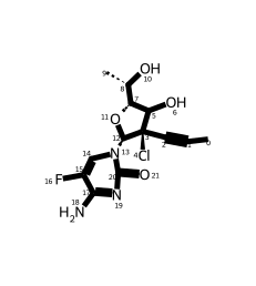 CC#C[C@@]1(Cl)C(O)[C@@H]([C@H](C)O)O[C@H]1n1cc(F)c(N)nc1=O